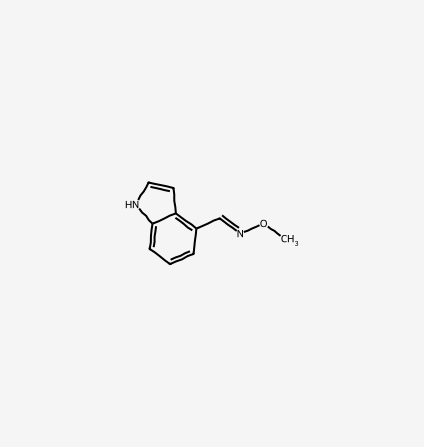 CON=Cc1cccc2[nH]ccc12